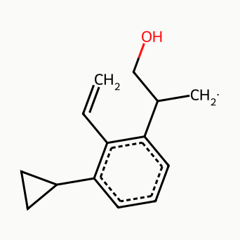 [CH2]C(CO)c1cccc(C2CC2)c1C=C